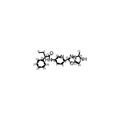 CCC(C(=O)Nc1ccc(C2=NN3C(=CNC3C)O2)nc1)c1ccccc1